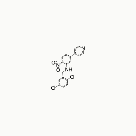 O=[N+]([O-])c1ccc(-c2ccncc2)cc1NCc1cc(Cl)ccc1Cl